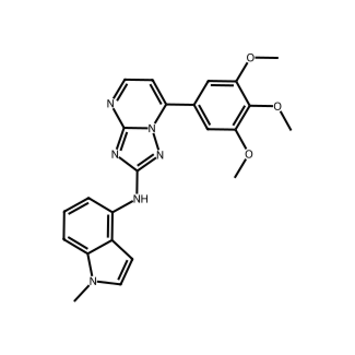 COc1cc(-c2ccnc3nc(Nc4cccc5c4ccn5C)nn23)cc(OC)c1OC